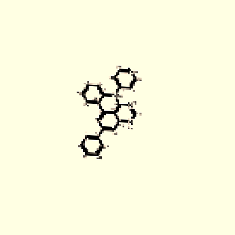 c1ccc(-c2cc3c4c(ncnc4c2)N(c2ccncc2)c2ccccc2-3)cc1